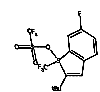 CC(C)(C)C1=Cc2ccc(F)cc2S1(OS(=O)(=O)C(F)(F)F)C(F)(F)F